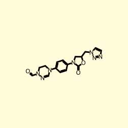 O=CN1CCN(c2ccc(N3CC(Cn4ccnn4)OC3=O)cc2)C=N1